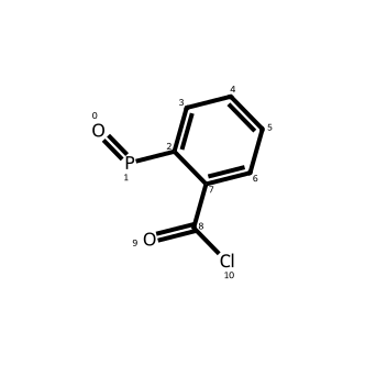 O=Pc1ccccc1C(=O)Cl